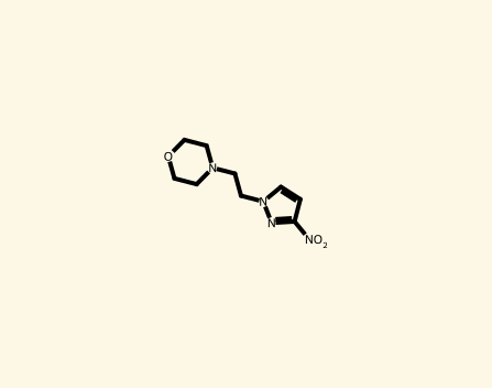 O=[N+]([O-])c1ccn(CCN2CCOCC2)n1